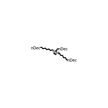 CCCCCCCCCCCCCCCCCN1C=CN(CCCCCCCCCCCCCCCC)C1CCCCCCCCCCC